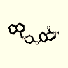 O=c1[nH]ccc2cc(OC3CCN(Cc4cccc5ccccc45)CC3)ccc12